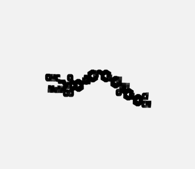 CNC(=O)C(CCC=O)N1C(=O)c2ccc(N3CC4(CCN(CC5CCN(c6ccc(NC(=O)C7CCN(c8ccc(C#N)c(Cl)c8)CC7)nc6)CC5)CC4)C3)cc2C1=O